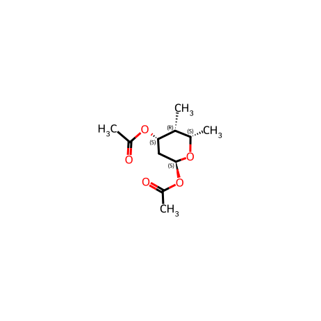 CC(=O)O[C@H]1C[C@H](OC(C)=O)[C@H](C)[C@H](C)O1